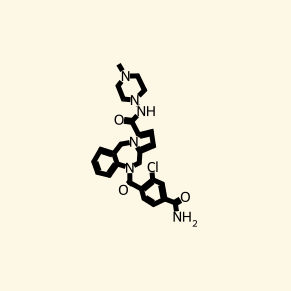 CN1CCN(NC(=O)c2ccc3n2Cc2ccccc2N(C(=O)c2ccc(C(N)=O)cc2Cl)C3)CC1